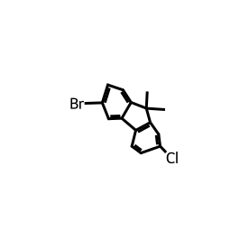 CC1(C)c2ccc(Br)cc2-c2ccc(Cl)cc21